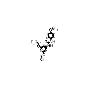 O=C(Nc1ccc(OC(F)(F)F)cc1)Nc1cc(OCC(F)(F)F)nc(OCC(F)(F)F)n1